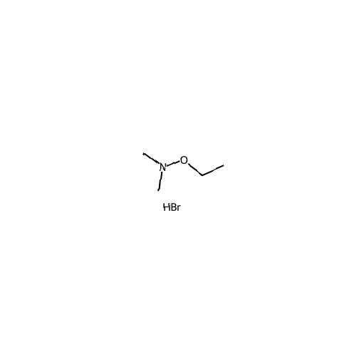 Br.CCON(C)C